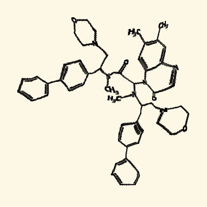 Cc1cc2ncc(=O)n(C(C(=O)N(C)C(CN3CCOCC3)c3ccc(-c4ccccc4)cc3)N(C)C(CN3CCOCC3)c3ccc(-c4ccccc4)cc3)c2cc1C